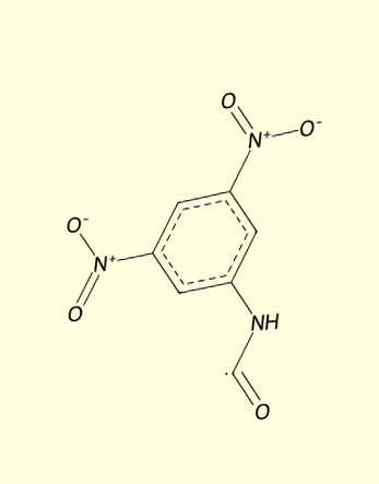 O=[C]Nc1cc([N+](=O)[O-])cc([N+](=O)[O-])c1